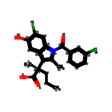 CCC[C@@](C)(C(=O)O)c1c(C)n(C(=O)c2cccc(Cl)c2)c2cc(F)c(O)cc12